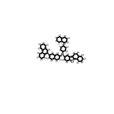 c1ccc2c(-c3ccc(N(c4ccc5ccc(-c6cc7ccccc7c7ccccc67)cc5c4)c4ccc5oc6c7ccccc7ccc6c5c4)cc3)cccc2c1